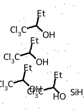 CCC(O)C(Cl)(Cl)Cl.CCC(O)C(Cl)(Cl)Cl.CCC(O)C(Cl)(Cl)Cl.CCC(O)C(Cl)(Cl)Cl.[SiH4]